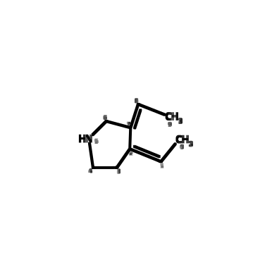 C/C=C1/CCNC/C1=C/C